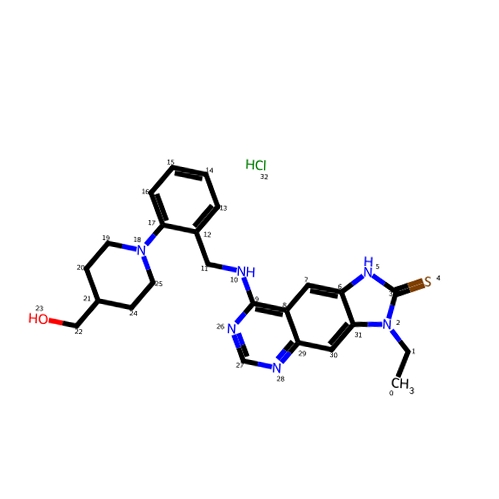 CCn1c(=S)[nH]c2cc3c(NCc4ccccc4N4CCC(CO)CC4)ncnc3cc21.Cl